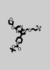 CC(C)(C)OC(=O)N1CC=C(c2cn(COCC[Si](C)(C)C)c3ncc(O[C@@H]4CCOC4)nc23)CC1